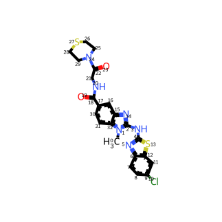 Cn1c(Nc2nc3ccc(Cl)cc3s2)nc2cc(C(=O)NCC(=O)N3CCSCC3)ccc21